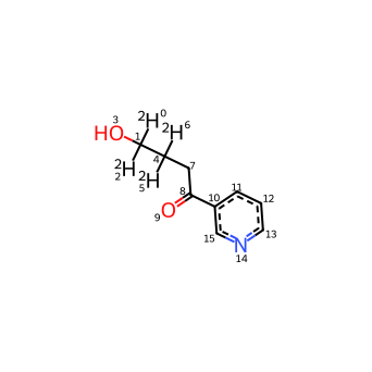 [2H]C([2H])(O)C([2H])([2H])CC(=O)c1cccnc1